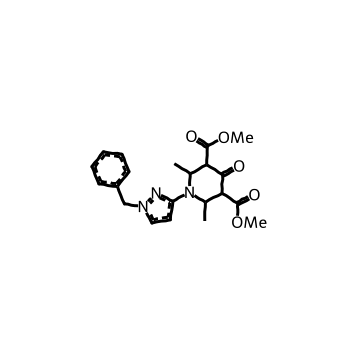 COC(=O)C1C(=O)C(C(=O)OC)C(C)N(c2ccn(Cc3ccccc3)n2)C1C